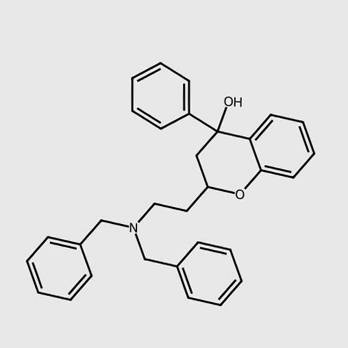 OC1(c2ccccc2)CC(CCN(Cc2ccccc2)Cc2ccccc2)Oc2ccccc21